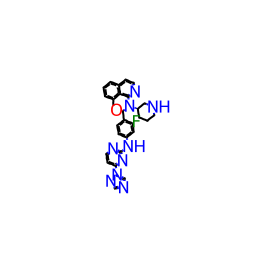 Cc1cccc2ccnc(N(C(=O)c3ccc(Nc4nccc(-n5cncn5)n4)cc3F)[C@@H]3CCCNC3)c12